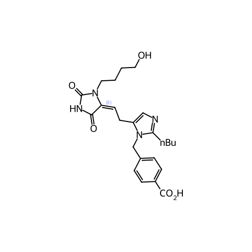 CCCCc1ncc(C/C=C2\C(=O)NC(=O)N2CCCCO)n1Cc1ccc(C(=O)O)cc1